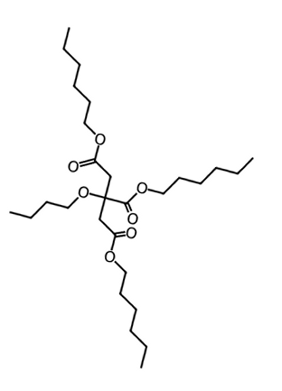 CCCCCCOC(=O)CC(CC(=O)OCCCCCC)(OCCCC)C(=O)OCCCCCC